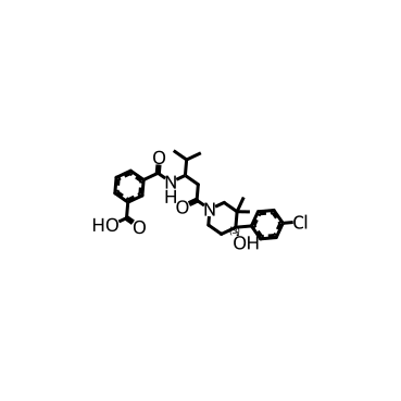 CC(C)C(CC(=O)N1CC[C@](O)(c2ccc(Cl)cc2)C(C)(C)C1)NC(=O)c1cccc(C(=O)O)c1